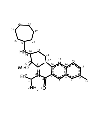 CCC(N)NC(=O)c1cc2cc(C)ccc2nc1N1CCC(NC2CCCCCC2)C(OC)C1